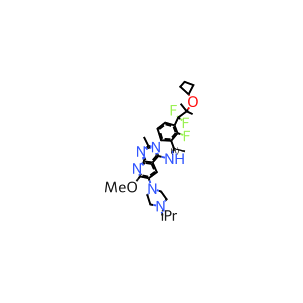 COc1nc2nc(C)nc(N[C@H](C)c3cccc(C(F)(F)C(C)(C)OC4CCC4)c3F)c2cc1N1CCN(C(C)C)CC1